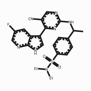 [C-]#[N+]c1cnc(NC(C)c2ccc(S(=O)(=O)N(CC)CC)cc2)nc1-c1c[nH]c2ncc(F)cc12